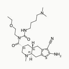 CCOCCN(C(=O)NCCCCN(C)C)C(=O)[C@@H]1C[C@@H]2Cc3c(sc(N)c3C#N)C[C@H]2N(C)C1